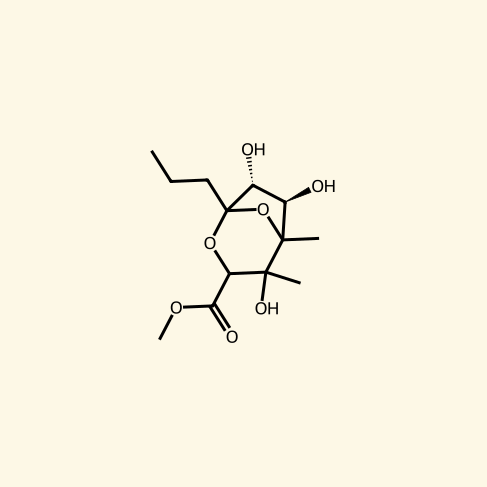 CCCC12OC(C(=O)OC)C(C)(O)C(C)(O1)[C@H](O)[C@H]2O